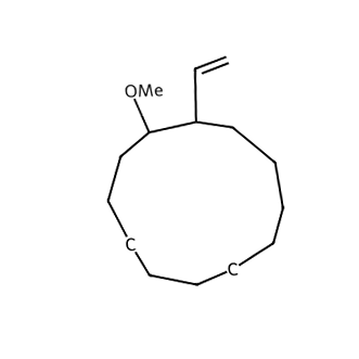 C=CC1CCCCCCCCCCC1OC